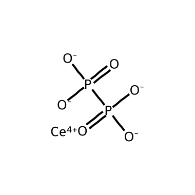 O=P([O-])([O-])P(=O)([O-])[O-].[Ce+4]